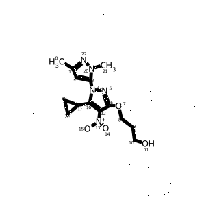 Cc1cc(-n2nc(OCCCO)c([N+](=O)[O-])c2C2CC2)n(C)n1